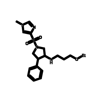 CCOCCCNC1CN(S(=O)(=O)c2cn(C)cn2)CC1c1ccccc1